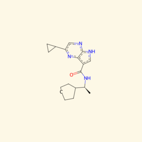 C[C@H](NC(=O)c1c[nH]c2ncc(C3CC3)nc12)C1CCCCC1